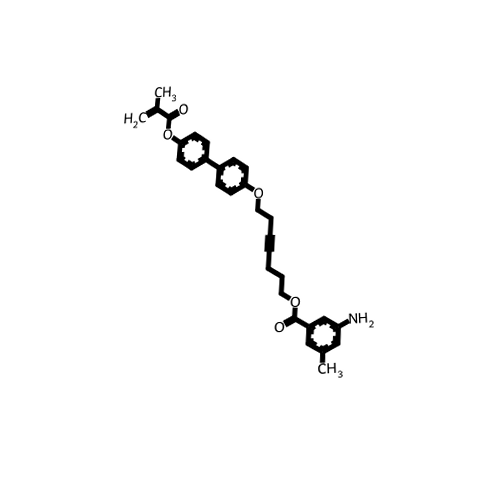 C=C(C)C(=O)Oc1ccc(-c2ccc(OCCC#CCCCOC(=O)c3cc(C)cc(N)c3)cc2)cc1